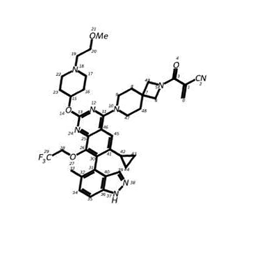 C=C(C#N)C(=O)N1CC2(CCN(c3nc(OC4CCN(CCOC)CC4)nc4c(OCC(F)(F)F)c(-c5c(C)ccc6[nH]ncc56)c(C5CC5)cc34)CC2)C1